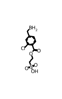 BCc1ccc(C(=O)OCCS(=O)(=O)O)c(Cl)c1